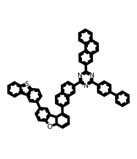 C1=CC2Oc3ccc(-c4ccc5sc6ccccc6c5c4)cc3C2C(c2ccc3ccc(-c4nc(-c5ccc(-c6ccccc6)cc5)nc(-c5ccc6c(ccc7ccccc76)c5)n4)cc3c2)=C1